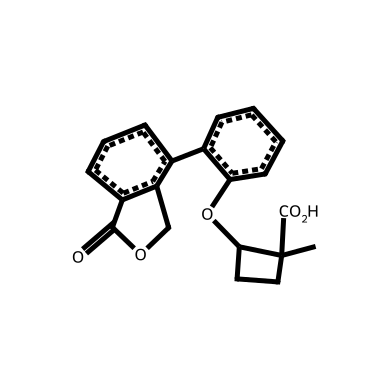 CC1(C(=O)O)CCC1Oc1ccccc1-c1cccc2c1COC2=O